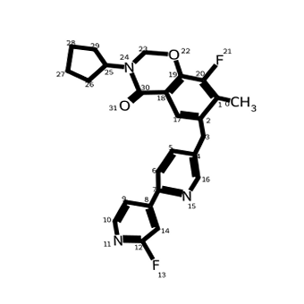 Cc1c(Cc2ccc(-c3ccnc(F)c3)nc2)cc2c(c1F)OCN(C1CCCC1)C2=O